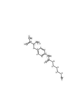 NC(Cc1ccc(NC(=O)CCCCCBr)cc1)C(=O)O